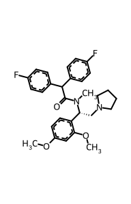 COc1ccc([C@@H](CN2CCCC2)N(C)C(=O)C(c2ccc(F)cc2)c2ccc(F)cc2)c(OC)c1